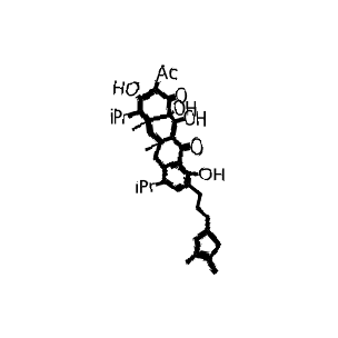 CC(=O)C1=C(O)C(C(C)C)[C@@]2(C)C[C@@]3(C)Cc4c(C(C)C)cc(CCCC5=CC(C)=C(C)C5)c(O)c4C(=O)C3=C(O)[C@@]2(O)C1=O